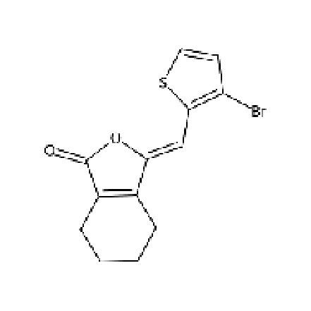 O=C1OC(=Cc2sccc2Br)C2=C1CCCC2